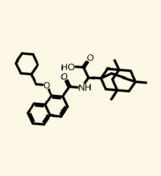 CC12CC3(C)CC(C)(C1)CC(C(NC(=O)c1ccc4ccccc4c1OCC1CCCCC1)C(=O)O)(C2)C3